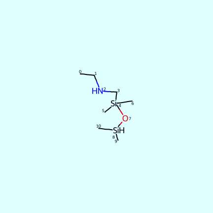 CCNC[Si](C)(C)O[SiH](C)C